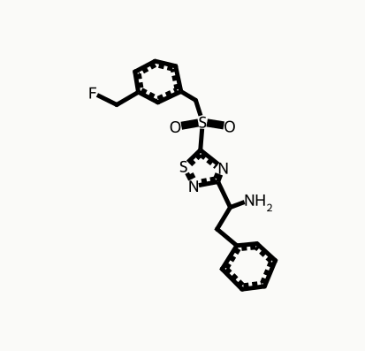 NC(Cc1ccccc1)c1nsc(S(=O)(=O)Cc2cccc(CF)c2)n1